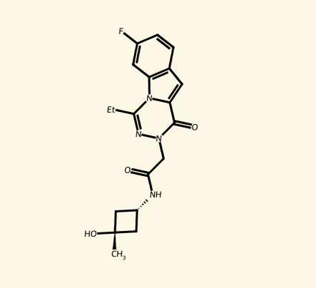 CCc1nn(CC(=O)N[C@H]2C[C@@](C)(O)C2)c(=O)c2cc3ccc(F)cc3n12